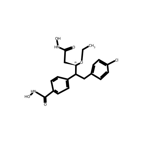 CCO[C@H](CC(=O)NO)C(Cc1ccc(Cl)cc1)c1ccc(C(=O)NO)cc1